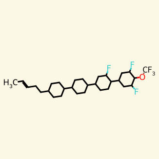 C/C=C/CCC1CCC(C2CCC(C3CCC(C4CC(F)C(OC(F)(F)F)C(F)C4)C(F)C3)CC2)CC1